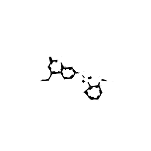 O=c1cc(CCl)c2ccc(NS(=O)(=O)c3ccccc3[N+](=O)[O-])cc2o1